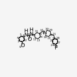 COc1cccc(NC(=O)NC2CCCC(CN3CCC(Cc4ccc(F)cc4)CC3)C2)c1